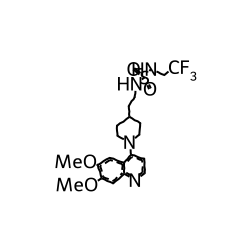 COc1cc2nccc(N3CCC(CCNS(=O)(=O)NCC(F)(F)F)CC3)c2cc1OC